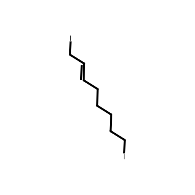 ICC=CCCCCCI